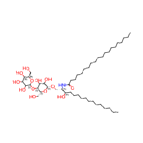 CCCCCCCCCCCCCCCCCCCC(=O)N[C@@H](CO[C@@H]1O[C@H](CO)[C@@H](O[C@@H]2O[C@H](CO)[C@H](O)C(O)C2O)C(O)C1O)[C@H](O)CCCCCCCCCCCCC